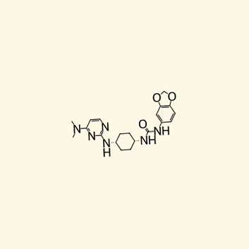 CN(C)c1ccnc(N[C@H]2CC[C@@H](NC(=O)Nc3ccc4c(c3)OCO4)CC2)n1